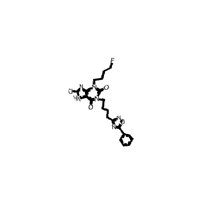 O=c1c2[nH]c(Cl)nc2n(CCCCF)c(=O)n1CCCCc1noc(-c2ccccc2)n1